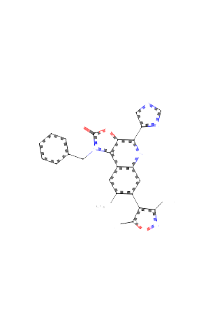 COc1cc2c(cc1-c1c(C)noc1C)nc(-c1c[nH]cn1)c1oc(=O)n(Cc3ccccc3)c12